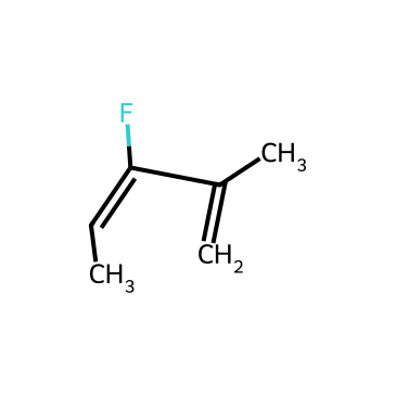 C=C(C)/C(F)=C\C